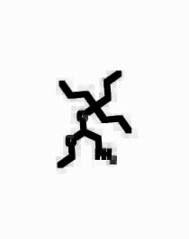 CCCC(CCC)(CCC)OC(CP)OCC